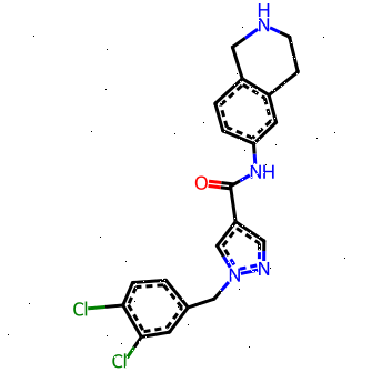 O=C(Nc1ccc2c(c1)CCNC2)c1cnn(Cc2ccc(Cl)c(Cl)c2)c1